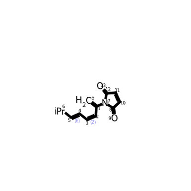 C=C(/C=C\C=C\C(C)C)N1C(=O)C=CC1=O